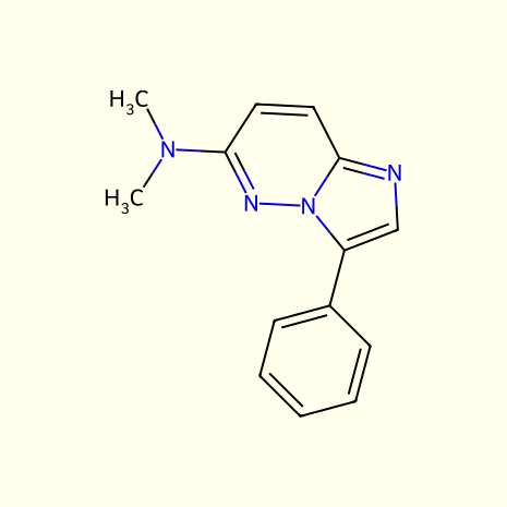 CN(C)c1ccc2ncc(-c3ccccc3)n2n1